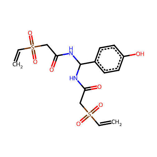 C=CS(=O)(=O)CC(=O)NC(NC(=O)CS(=O)(=O)C=C)c1ccc(O)cc1